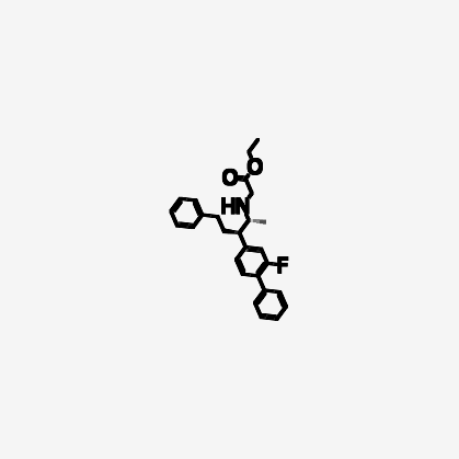 CCOC(=O)CN[C@H](C)[C@H](CCc1ccccc1)c1ccc(-c2ccccc2)c(F)c1